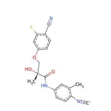 [C-]#[N+]c1ccc(NC(=O)[C@](C)(O)COc2ccc(C#N)c(F)c2)cc1C